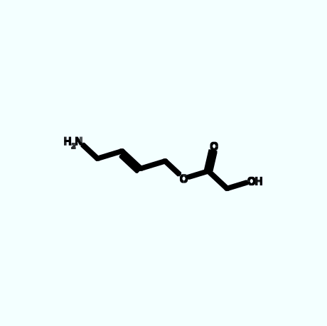 NCC=CCOC(=O)CO